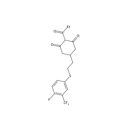 CCC(=O)C1C(=O)CC(CCSc2ccc(F)c(C(F)(F)F)c2)CC1=O